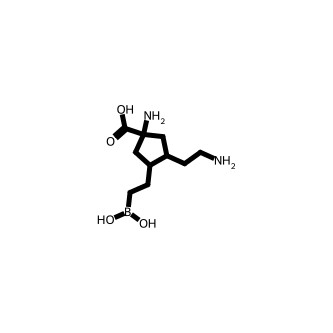 NCCC1CC(N)(C(=O)O)CC1CCB(O)O